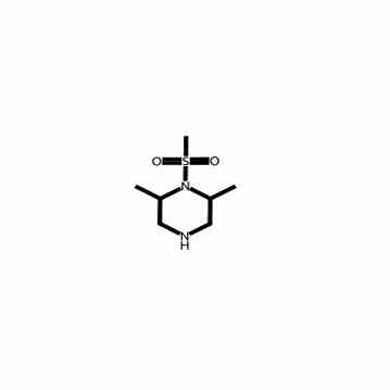 CC1CNCC(C)N1S(C)(=O)=O